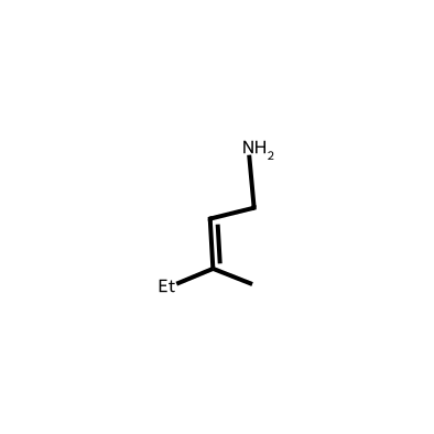 CCC(C)=CCN